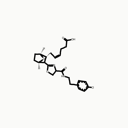 O=C(O)CC/C=C\C[C@@H]1C(C2=NC(C(=O)NCCc3ccc(Cl)cc3)CO2)[C@H]2CC[C@@H]1O2